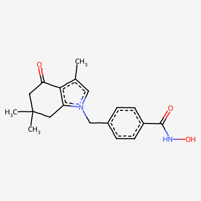 Cc1cn(Cc2ccc(C(=O)NO)cc2)c2c1C(=O)CC(C)(C)C2